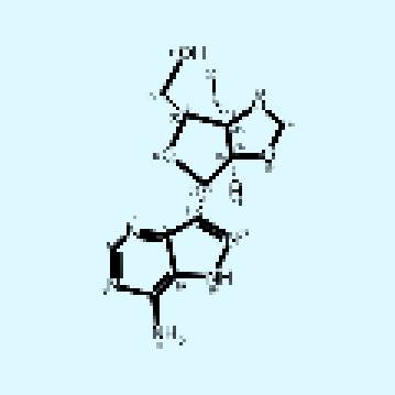 Nc1ncnc2c([C@@H]3O[C@H](CO)[C@H]4OCO[C@H]43)n[nH]c12